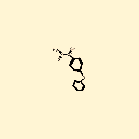 CS(=S)[S+]([O-])c1ccc(Sc2ccccc2)cc1